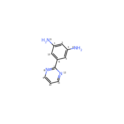 Nc1cc(N)cc(-c2ncccn2)c1